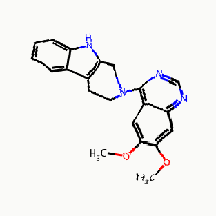 COc1cc2ncnc(N3CCc4c([nH]c5ccccc45)C3)c2cc1OC